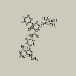 Cn1cc(-c2ccc(NC(=O)c3cc(C#CC(C)(C)O)cn(-c4ccccc4)c3=O)cc2)c2c(N)ncnc21